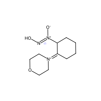 [O-]/[N+](=N\O)C1CCCCC1=[N+]1CCOCC1